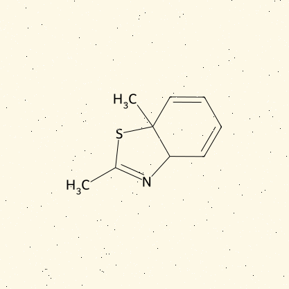 CC1=NC2C=CC=CC2(C)S1